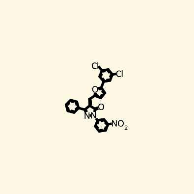 O=C1C(=Cc2ccc(-c3cc(Cl)cc(Cl)c3)o2)C(c2ccccc2)=NN1c1cccc([N+](=O)[O-])c1